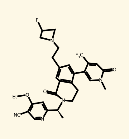 CCOc1cc([C@H](C)N2CCc3c(cc(CCN4CC(F)C4)cc3-c3cn(C)c(=O)cc3C(F)(F)F)C2=O)ncc1C#N